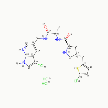 C[C@H](NC(=O)[C@H]1C[C@H](Cc2ccc(Cl)s2)CN1)C(=O)NCc1cnc2c(c1)c(Cl)cn2C.Cl.Cl